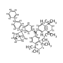 CC1(C)CCC(C)(C)c2cc(N(c3ccc4c(c3)C(C)(C)CCC4(C)C)c3ccc4c(c3)C3(c5ccc(-c6ccccc6)cc5-4)C4CC5CC6CC3C64C5)ccc21